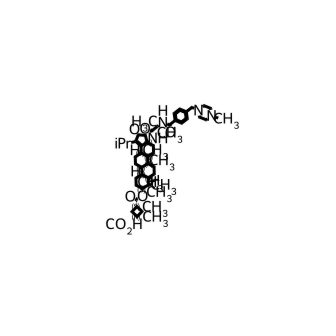 CC(C)C1=C2[C@H]3CC[C@@H]4[C@@]5(C)CC[C@H](OC(=O)[C@H]6C[C@@H](C(=O)O)C6(C)C)C(C)(C)[C@@H]5CC[C@@]4(C)[C@]3(C)CC[C@@]2(NC(=O)C(C)(C)NC(=O)c2ccc(CN3CCN(C)CC3)cc2)CC1=O